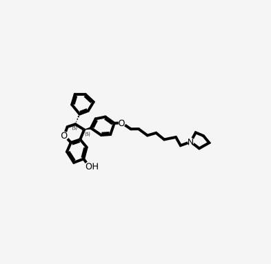 Oc1ccc2c(c1)[C@H](c1ccc(OCCCCCCCN3CCCC3)cc1)[C@@H](c1ccccc1)CO2